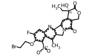 CC[C@@]1(O)C(=O)OCc2c1cc1n(c2=O)Cc2c-1nc1cc(F)c(OCCBr)c([N+](=O)[O-])c1c2C